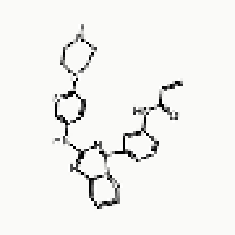 C=CC(=O)Nc1cccc(-c2nc(Nc3ccc(N4CCN(C)CC4)nc3)nc3cccnc23)c1